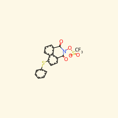 O=C1c2cccc3c(Sc4ccccc4)ccc(c23)C(=O)N1OS(=O)(=O)C(F)(F)F